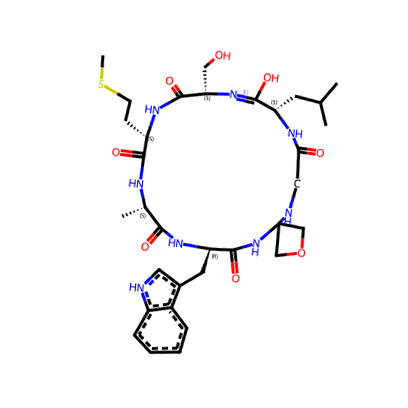 CSCC[C@@H]1NC(=O)[C@H](CO)/N=C(/O)[C@H](CC(C)C)NC(=O)CNC2(COC2)NC(=O)[C@@H](Cc2c[nH]c3ccccc23)NC(=O)[C@H](C)NC1=O